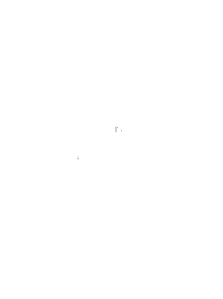 BrC1CCCN1